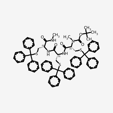 CNC(=O)[C@@H](CSC(c1ccccc1)(c1ccccc1)c1ccccc1)NC(=O)[C@@H](CSC(c1ccccc1)(c1ccccc1)c1ccccc1)NC(=O)[C@@H](CSC(c1ccccc1)(c1ccccc1)c1ccccc1)N(C)C(=O)OC(C)(C)C